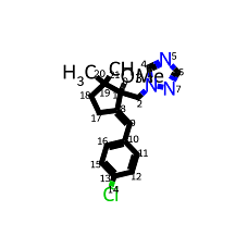 COC1(Cn2cncn2)C(=Cc2ccc(Cl)cc2)CCC1(C)C